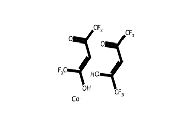 O=C(/C=C(/O)C(F)(F)F)C(F)(F)F.O=C(/C=C(\O)C(F)(F)F)C(F)(F)F.[Co]